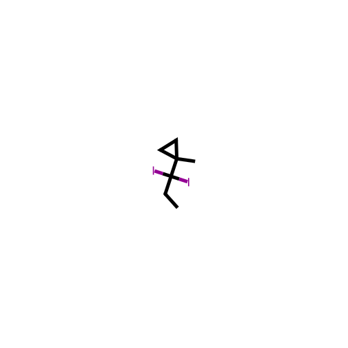 CCC(I)(I)C1(C)CC1